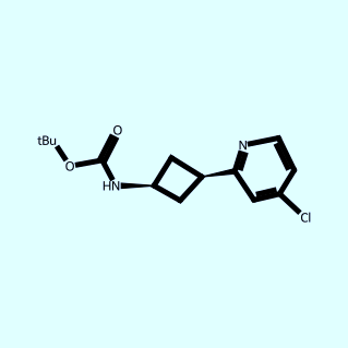 CC(C)(C)OC(=O)N[C@H]1C[C@@H](c2cc(Cl)ccn2)C1